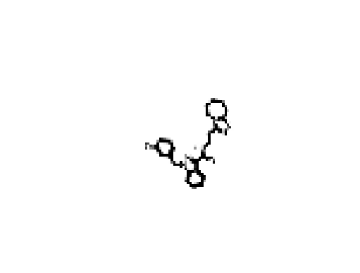 O=C(NCCc1nnc2n1CCCCC2)c1nn(Cc2cccc(F)c2)c2ccccc12